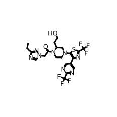 CCc1ncn(CC(=O)N2CCN(c3sc(C(F)(F)F)nc3-c3cnc(C(F)(F)F)nc3)CC2CCO)n1